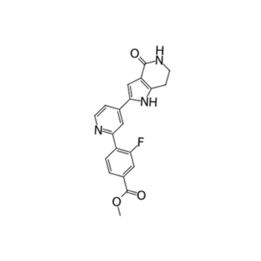 COC(=O)c1ccc(-c2cc(-c3cc4c([nH]3)CCNC4=O)ccn2)c(F)c1